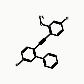 COc1cc(Cl)ccc1C#Cc1ccc(Cl)cc1-c1ccccc1